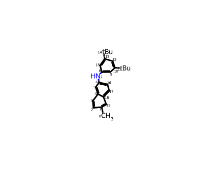 Cc1ccc2cc(Nc3cc(C(C)(C)C)cc(C(C)(C)C)c3)ccc2c1